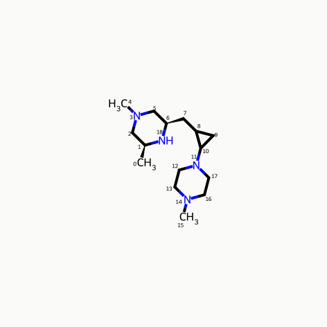 C[C@H]1CN(C)C[C@@H](CC2CC2N2CCN(C)CC2)N1